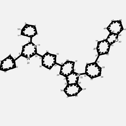 c1ccc(-c2cc(-c3ccccc3)nc(-c3ccc(-c4ccc5c(c4)c4ccccc4n5-c4cccc(-c5ccc6c(c5)oc5ccccc56)c4)cc3)n2)cc1